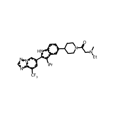 CCN(C)CC(=O)N1CCC(c2ccc3[nH]c(-c4cc(C(F)(F)F)c5ncnn5c4)c(C(C)C)c3c2)CC1